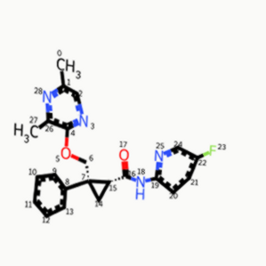 Cc1cnc(OC[C@@]2(c3ccccc3)C[C@H]2C(=O)Nc2ccc(F)cn2)c(C)n1